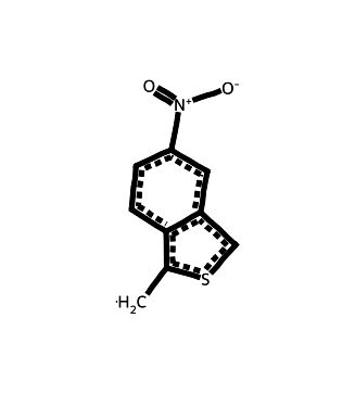 [CH2]c1scc2cc([N+](=O)[O-])ccc12